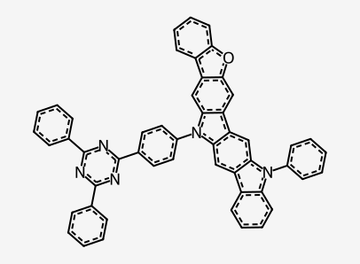 c1ccc(-c2nc(-c3ccccc3)nc(-c3ccc(-n4c5cc6c(cc5c5cc7c(cc54)c4ccccc4n7-c4ccccc4)oc4ccccc46)cc3)n2)cc1